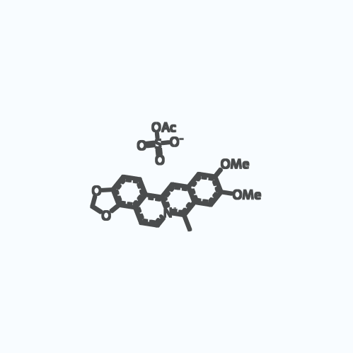 CC(=O)OS(=O)(=O)[O-].COc1cc2cc3c4ccc5c(c4cc[n+]3c(C)c2cc1OC)OCO5